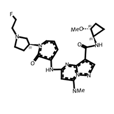 CNc1cc(Nc2cccn([C@H]3CCN(CCF)C3)c2=O)nc2c(C(=O)N[C@@H]3CC[C@H]3OC)cnn12